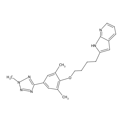 Cc1cc(-c2nnn(C)n2)cc(C)c1OCCCCc1cc2cccnc2[nH]1